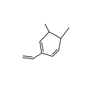 C=CC1=CC(C)C(C)C=C1